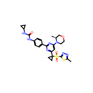 Cc1nnc(S(=O)(=O)C2(c3cc(N4CCOC[C@@H]4C)nc(-c4ccc(NC(=O)NC5CC5)cc4)n3)CC2)s1